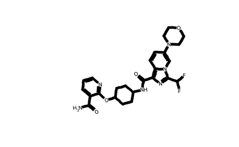 NC(=O)c1cccnc1OC1CCC(NC(=O)c2nc(C(F)F)n3cc(N4CCOCC4)ccc23)CC1